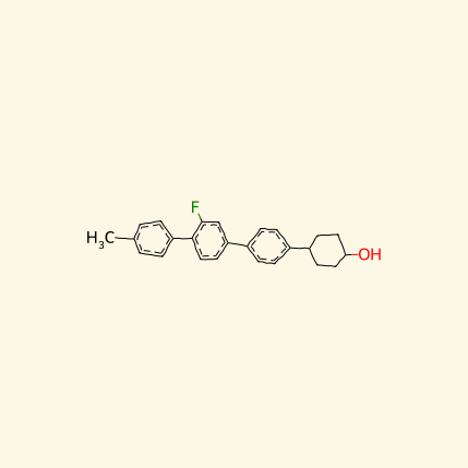 Cc1ccc(-c2ccc(-c3ccc(C4CCC(O)CC4)cc3)cc2F)cc1